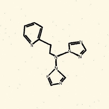 c1ccc(CCN(n2cncn2)n2cncn2)nc1